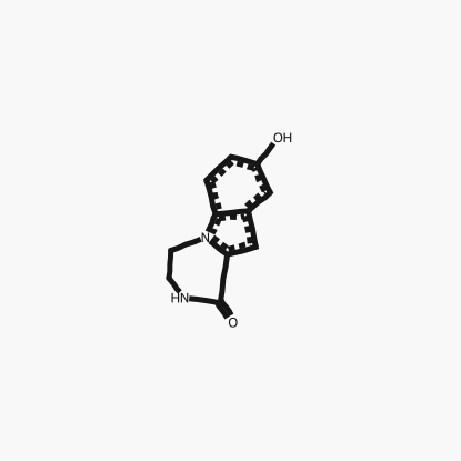 O=C1NCCn2c1cc1cc(O)ccc12